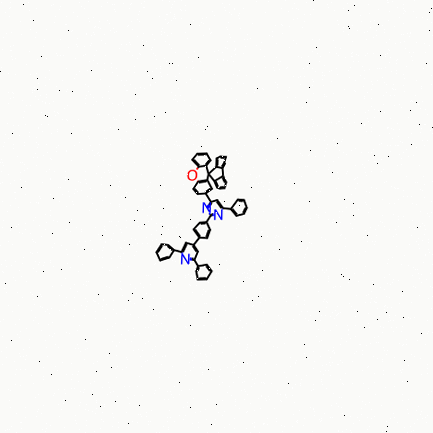 c1ccc(-c2cc(-c3ccc(-c4nc(-c5ccccc5)cc(-c5ccc6c(c5)C5(c7ccccc7O6)c6ccccc6-c6ccccc65)n4)cc3)cc(-c3ccccc3)n2)cc1